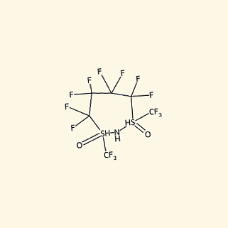 O=[SH]1(C(F)(F)F)N[SH](=O)(C(F)(F)F)C(F)(F)C(F)(F)C(F)(F)C1(F)F